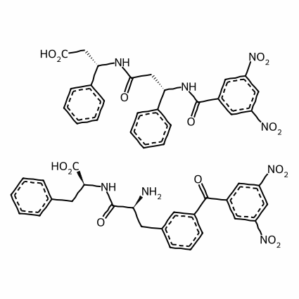 N[C@@H](Cc1cccc(C(=O)c2cc([N+](=O)[O-])cc([N+](=O)[O-])c2)c1)C(=O)N[C@@H](Cc1ccccc1)C(=O)O.O=C(O)C[C@H](NC(=O)C[C@H](NC(=O)c1cc([N+](=O)[O-])cc([N+](=O)[O-])c1)c1ccccc1)c1ccccc1